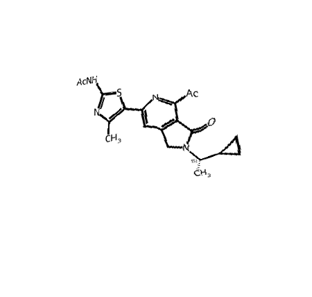 CC(=O)Nc1nc(C)c(-c2cc3c(c(C(C)=O)n2)C(=O)N([C@@H](C)C2CC2)C3)s1